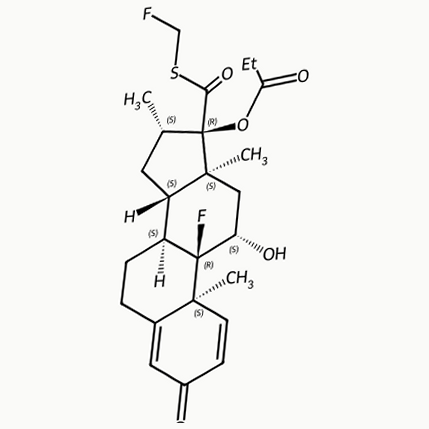 CCC(=O)O[C@]1(C(=O)SCF)[C@@H](C)C[C@H]2[C@@H]3CCC4=CC(=O)C=C[C@]4(C)[C@@]3(F)[C@@H](O)C[C@@]21C